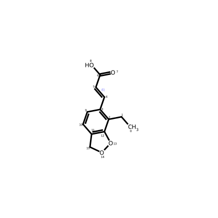 CCc1c(/C=C/C(=O)O)ccc2c1OOC2